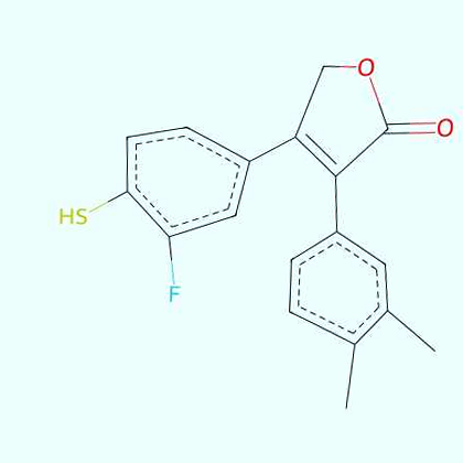 Cc1ccc(C2=C(c3ccc(S)c(F)c3)COC2=O)cc1C